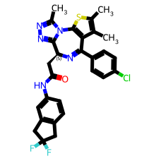 Cc1sc2c(c1C)C(c1ccc(Cl)cc1)=N[C@@H](CC(=O)Nc1ccc3c(c1)CC(F)(F)C3)c1nnc(C)n1-2